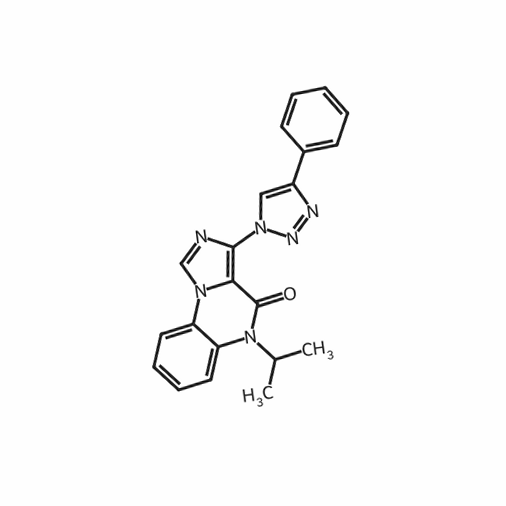 CC(C)n1c(=O)c2c(-n3cc(-c4ccccc4)nn3)ncn2c2ccccc21